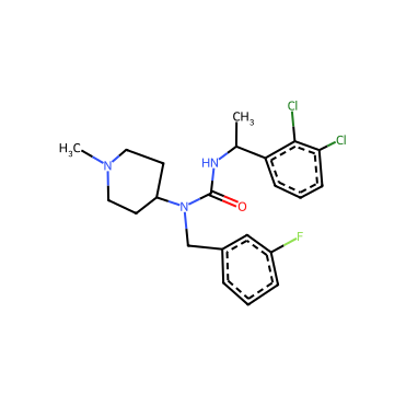 CC(NC(=O)N(Cc1cccc(F)c1)C1CCN(C)CC1)c1cccc(Cl)c1Cl